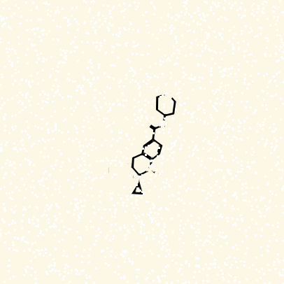 CC(=O)N1c2ccc(C(=O)NC3CCOCC3)cc2C[C@@H](C)[C@@H]1C1CC1